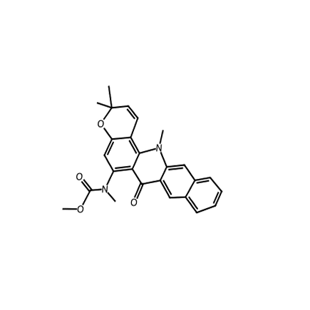 COC(=O)N(C)c1cc2c(c3c1c(=O)c1cc4ccccc4cc1n3C)C=CC(C)(C)O2